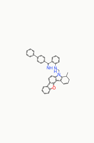 CC1CC=Cc2c1n(CNc1ccccc1C(=N)c1ccc(-c3ccccc3)cc1)c1ccc3c4ccccc4oc3c21